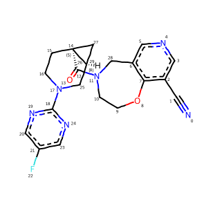 N#Cc1cncc2c1OCCN(C(=O)[C@@]13CCN(c4ncc(F)cn4)C[C@@H]1C3)C2